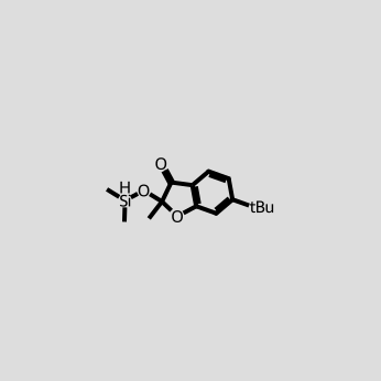 C[SiH](C)OC1(C)Oc2cc(C(C)(C)C)ccc2C1=O